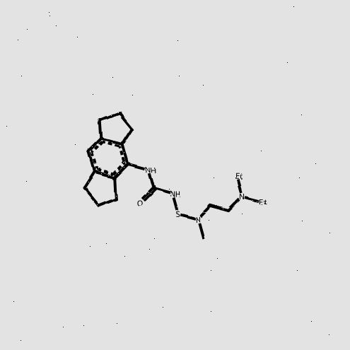 CCN(CC)CCN(C)SNC(=O)Nc1c2c(cc3c1CCC3)CCC2